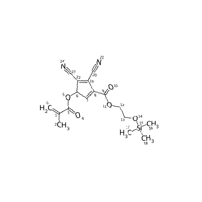 C=C(C)C(=O)OC1C=C(C(=O)OCCO[Si](C)(C)C)C(C#N)=C1C#N